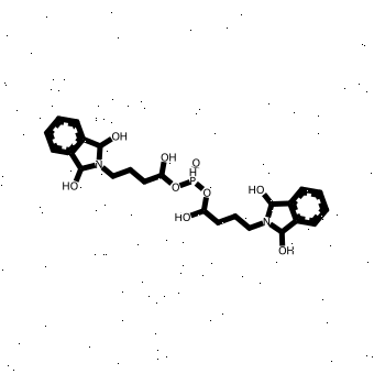 O=[PH](OC(O)CCCN1C(O)c2ccccc2C1O)OC(O)CCCN1C(O)c2ccccc2C1O